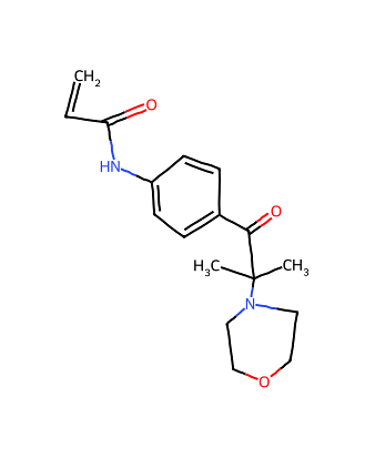 C=CC(=O)Nc1ccc(C(=O)C(C)(C)N2CCOCC2)cc1